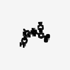 Cc1cc(-n2ncc(-c3ccc([N+](=O)[O-])cc3N3CCC4(CC3)CC4)n2)nc(N2CCC(F)(F)CC2)n1